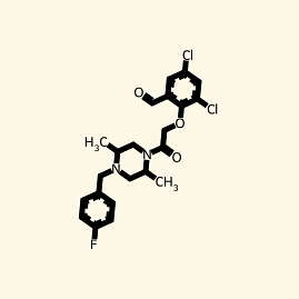 CC1CN(C(=O)COc2c(Cl)cc(Cl)cc2C=O)C(C)CN1Cc1ccc(F)cc1